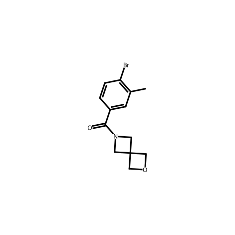 Cc1cc(C(=O)N2CC3(COC3)C2)ccc1Br